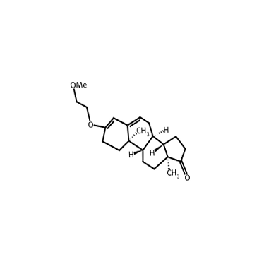 COCCOC1=CC2=CC[C@@H]3[C@H](CC[C@]4(C)C(=O)CC[C@@H]34)[C@@]2(C)CC1